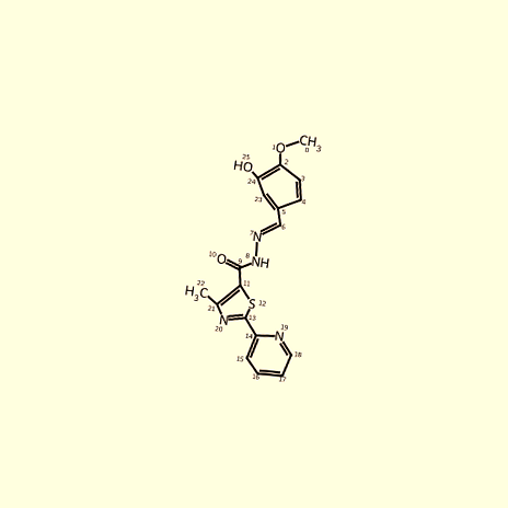 COc1ccc(/C=N/NC(=O)c2sc(-c3ccccn3)nc2C)cc1O